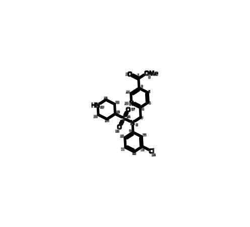 COC(=O)c1ccc(CN(c2cccc(Cl)c2)S(=O)(=O)C2CCNCC2)nc1